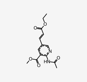 CCOC(=O)/C=C/c1cnc(NC(C)=O)c(C(=O)OC)c1